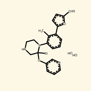 CCC1(Oc2cccnc2)CNCCN1c1cccc(-c2ccc(C=O)o2)c1C.Cl.Cl